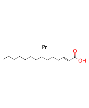 CCCCCCCCCCCC=CC(=O)O.[Pr]